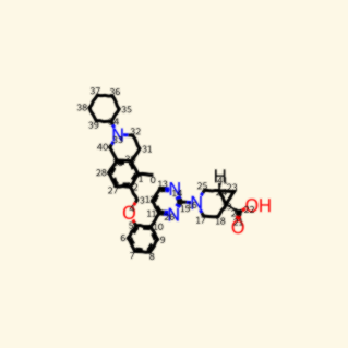 Cc1c(COc2ccccc2-c2ccnc(N3CC[C@@]4(C(=O)O)C[C@H]4C3)n2)ccc2c1CCN(C1CCCCC1)C2